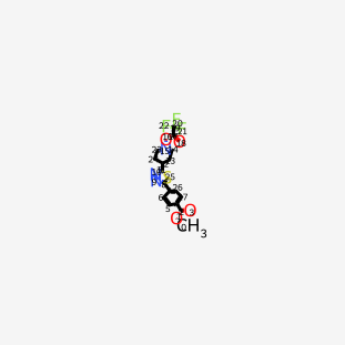 COC(=O)c1ccc(-c2nnc(C3CCN(OC(=O)C(F)(F)F)CC3)s2)cc1